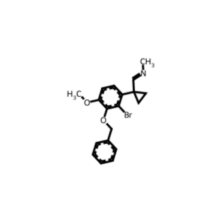 C/N=C/C1(c2ccc(OC)c(OCc3ccccc3)c2Br)CC1